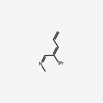 C=C/C=C(\C=N/C)C(C)C